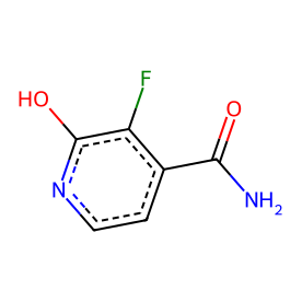 NC(=O)c1ccnc(O)c1F